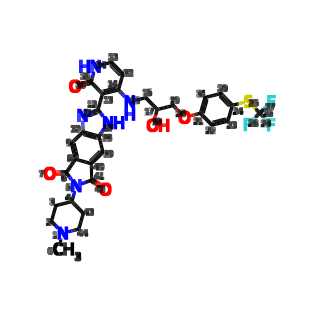 CN1CCC(N2C(=O)c3cc4nc(-c5c(NCC(O)COc6ccc(SC(F)(F)F)cc6)cc[nH]c5=O)[nH]c4cc3C2=O)CC1